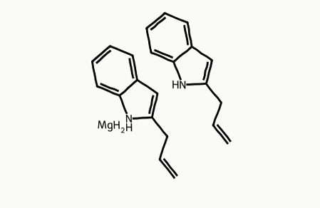 C=CCc1cc2ccccc2[nH]1.C=CCc1cc2ccccc2[nH]1.[MgH2]